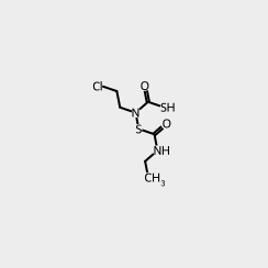 CCNC(=O)SN(CCCl)C(=O)S